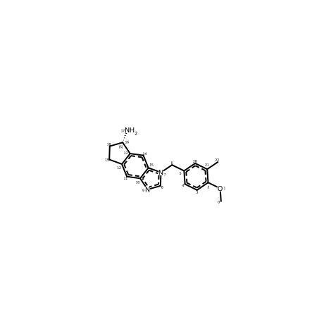 COc1ccc(Cn2cnc3cc4c(cc32)[C@@H](N)CC4)cc1C